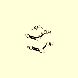 O=[C-]O.O=[C-]O.[Al+2]